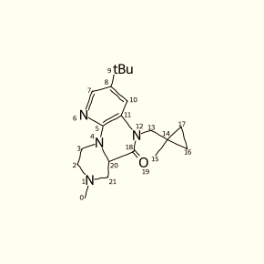 CN1CCN2c3ncc(C(C)(C)C)cc3N(CC3(C)CC3)C(=O)C2C1